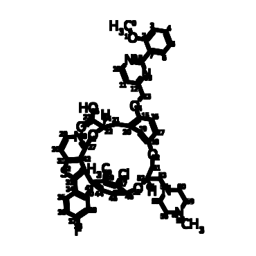 COc1ccccc1-c1nccc(COc2ccc3cc2C[C@H](C(=O)O)Oc2nccc4sc(-c5ccc(F)cc5)c(c24)-c2ccc(c(Cl)c2C)O[C@@H](CN2CCN(C)CC2)CO3)n1